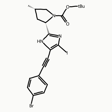 C[C@H]1C[C@@H](c2nc(I)c(C#Cc3ccc(Br)cc3)[nH]2)N(C(=O)OC(C)(C)C)C1